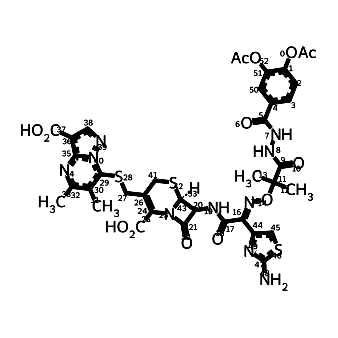 CC(=O)Oc1ccc(C(=O)NNC(=O)C(C)(C)ON=C(C(=O)NC2C(=O)N3C(C(=O)O)=C(CSc4c(C)c(C)nc5c(C(=O)O)cnn45)CS[C@@H]23)c2csc(N)n2)cc1OC(C)=O